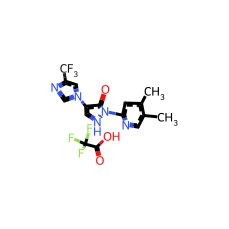 Cc1cnc(-n2[nH]cc(-n3cnc(C(F)(F)F)c3)c2=O)cc1C.O=C(O)C(F)(F)F